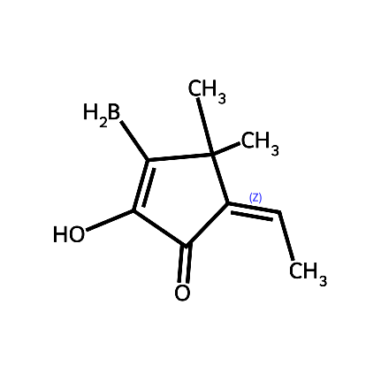 BC1=C(O)C(=O)/C(=C\C)C1(C)C